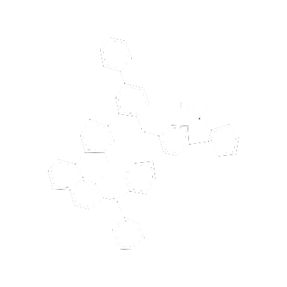 CC1(C)c2ccccc2-c2ccc(Nc3ccc(-c4ccccc4)cc3-c3ccc4c(c3)Oc3c(N(c5ccccc5)c5ccccc5)ccc5cccc-4c35)cc21